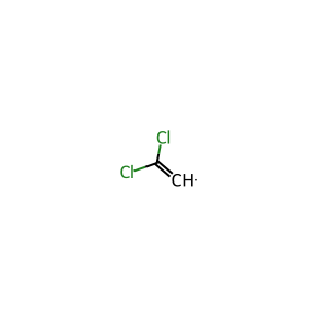 [CH]=C(Cl)Cl